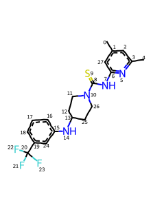 Cc1cc(C)nc(NC(=S)N2CCC(Nc3cccc(C(F)(F)F)c3)CC2)c1